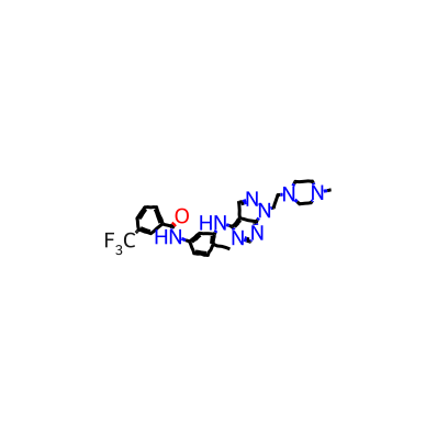 Cc1ccc(NC(=O)c2cccc(C(F)(F)F)c2)cc1Nc1ncnc2c1cnn2CCN1CCN(C)CC1